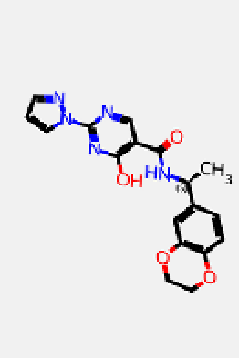 C[C@H](NC(=O)c1cnc(-n2cccn2)nc1O)c1ccc2c(c1)OCCO2